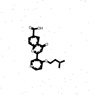 CC(C)CCOc1ccncc1-c1cc(=O)c2cc(C(=O)O)ccc2o1